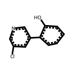 Oc1ccccc1-c1cncc(Cl)c1